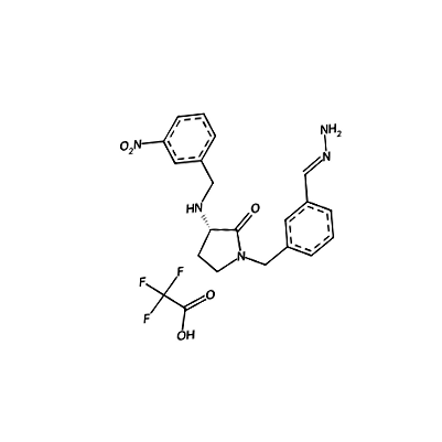 NN=Cc1cccc(CN2CC[C@H](NCc3cccc([N+](=O)[O-])c3)C2=O)c1.O=C(O)C(F)(F)F